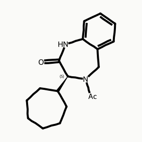 CC(=O)N1Cc2ccccc2NC(=O)[C@@H]1C1CCCCCC1